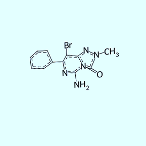 Cn1nc2c(Br)c(-c3ccccc3)nc(N)n2c1=O